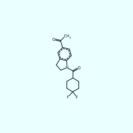 CC(=O)c1ccc2c(c1)CCN2C(=O)C1CCC(F)(F)CC1